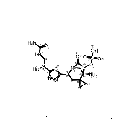 N=C(N)NC[C@H](O)c1nnc([C@@H]2CC3(CC3)[C@]3(N)CN2C(=O)N3OS(=O)(=O)O)o1